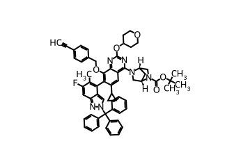 C#Cc1ccc(COc2c(-c3c(C)c(F)cc4nn(C(c5ccccc5)(c5ccccc5)c5ccccc5)cc34)c(C3CC3)cc3c(N4C[C@@H]5C[C@H]4CN5C(=O)OC(C)(C)C)nc(OC4CCOCC4)nc23)cc1